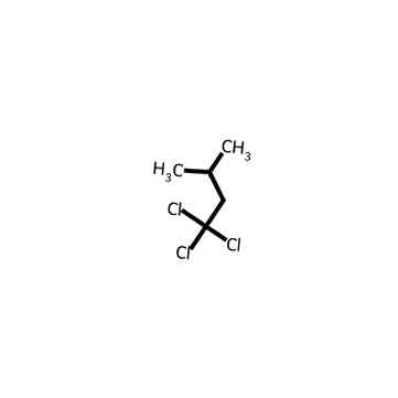 C[C](C)CC(Cl)(Cl)Cl